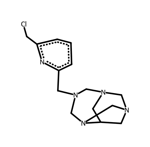 ClCc1cccc(CN2CN3CC4CN(C3)CN4C2)n1